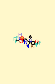 C[C@H](NS(=O)(=O)c1ccc(-c2c(C#N)c3c(Br)c(F)c(OC(F)F)cc3n2C2CCC2)nc1)C(F)(F)F